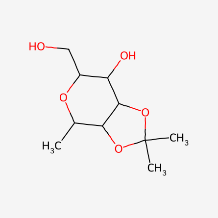 CC1OC(CO)C(O)C2OC(C)(C)OC12